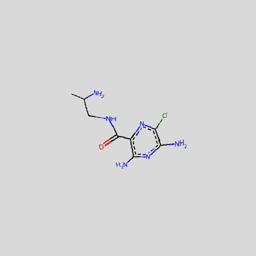 CC(N)CNC(=O)c1nc(Cl)c(N)nc1N